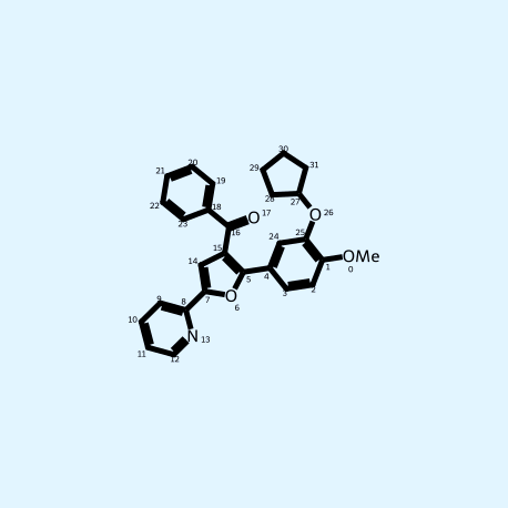 COc1ccc(-c2oc(-c3ccccn3)cc2C(=O)c2ccccc2)cc1OC1CCCC1